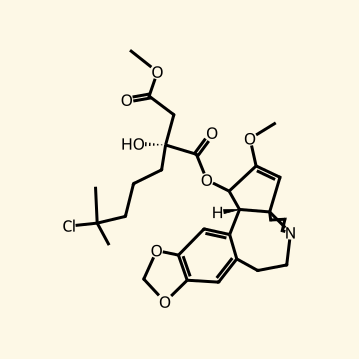 COC(=O)C[C@](O)(CCCC(C)(C)Cl)C(=O)OC1C(OC)=CC23CCCN2CCc2cc4c(cc2[C@H]13)OCO4